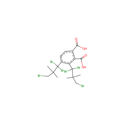 CC(C)(CBr)C(Br)(Br)c1ccc(C(=O)O)c(C(=O)O)c1C(Br)(Br)C(C)(C)CBr